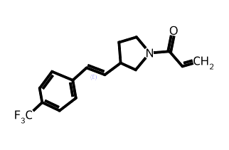 C=CC(=O)N1CCC(/C=C/c2ccc(C(F)(F)F)cc2)C1